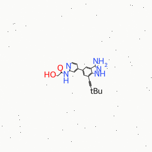 CC(C)(C)C#Cc1cc(-c2ccnc(NC(=O)CO)c2)cc2c(N)n[nH]c12